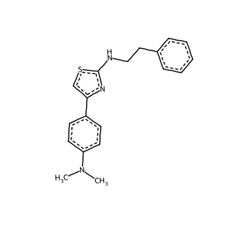 CN(C)c1ccc(-c2csc(NCCc3ccccc3)n2)cc1